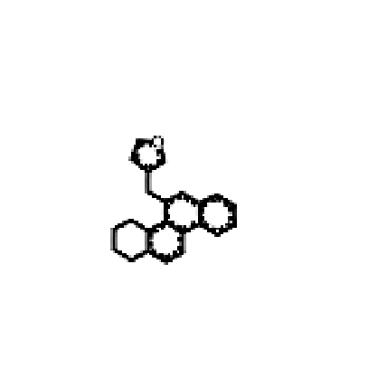 c1ccc2c(c1)cc(Cc1ccoc1)c1c3c(ccc12)CCCC3